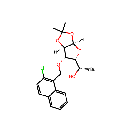 CCCC[C@H](O)[C@H]1O[C@@H]2OC(C)(C)O[C@@H]2[C@H]1OCc1c(Cl)ccc2ccccc12